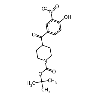 CC(C)(C)OC(=O)N1CCC(C(=O)c2ccc(O)c([N+](=O)[O-])c2)CC1